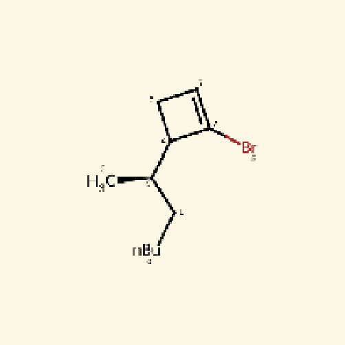 CCCCC[C@@H](C)C1CC=C1Br